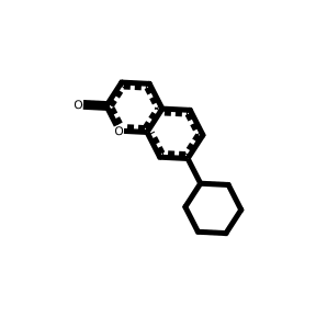 O=c1ccc2ccc(C3CCCCC3)cc2o1